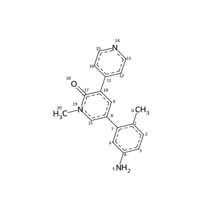 Cc1ccc(N)cc1-c1cc(-c2ccncc2)c(=O)n(C)c1